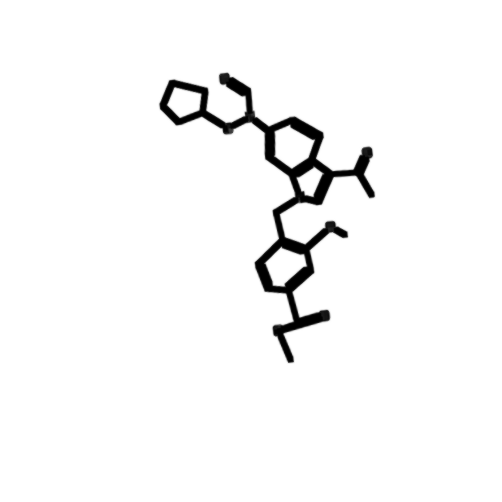 COC(=O)c1ccc(Cn2cc(C(C)=O)c3ccc(N(C=O)OC4CCCC4)cc32)c(OC)c1